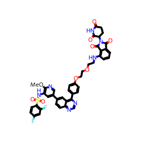 COc1ncc(-c2ccc3ncnc(-c4ccc(OCCOCCNc5cccc6c5C(=O)N(C5CCC(=O)NC5=O)C6=O)cc4)c3c2)cc1NS(=O)(=O)c1ccc(F)cc1F